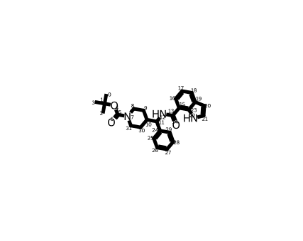 CC(C)(C)OC(=O)N1CCC(C(NC(=O)c2cccc3cc[nH]c23)c2ccccc2)CC1